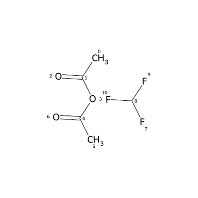 CC(=O)OC(C)=O.FC(F)F